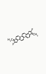 Cn1c(F)cc2c3ccc4c(ccc5c4ccc4c5cc(F)n4C)c3ccc21